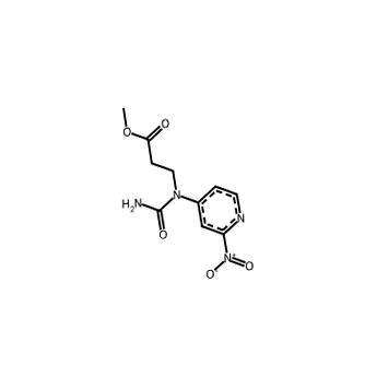 COC(=O)CCN(C(N)=O)c1ccnc([N+](=O)[O-])c1